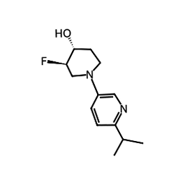 CC(C)c1ccc(N2CC[C@@H](O)[C@H](F)C2)cn1